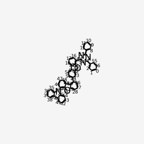 c1ccc(-c2nc(-c3ccccc3)nc(-c3cccc4c3oc3cc(-c5cccc6oc7c(-n8c9ccccc9c9ccccc98)cccc7c56)ccc34)n2)cc1